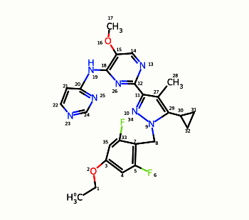 CCOc1cc(F)c(Cn2nc(-c3ncc(OC)c(Nc4ccncn4)n3)c(C)c2C2CC2)c(F)c1